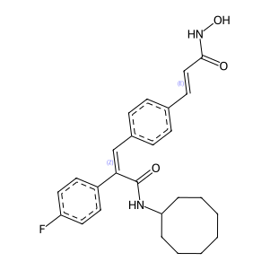 O=C(/C=C/c1ccc(/C=C(\C(=O)NC2CCCCCCC2)c2ccc(F)cc2)cc1)NO